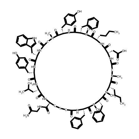 CCCC[C@@H]1NC(=O)[C@H](CC(=O)O)NC(=O)CN(C)C(=O)[C@H](CCCC)N(C)C(=O)[C@H](Cc2ccccc2)N(C)C(=O)[C@H](Cc2ccccc2)NC(=O)CSC[C@@H](C(=O)NCC(N)=O)NC(=O)[C@H](CC(C)C)NC(=O)[C@H](Cc2ccc(O)cc2)NC(=O)[C@H](Cc2c[nH]c3ccccc23)NC(=O)CN(C)C(=O)[C@H](Cc2ccc(O)cc2)NC(=O)[C@H](Cc2ccccc2)N(C)C1=O